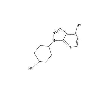 CC(C)c1ncnc2c1cnn2C1CCC(O)CC1